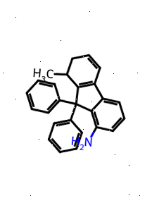 CC1CC=CC2=C1C(c1ccccc1)(c1ccccc1)c1c(N)cccc12